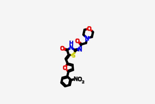 O=C(CN1CCOCC1)/N=C1\NC(=O)/C(=C/c2ccc(-c3ccccc3[N+](=O)[O-])o2)S1